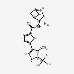 Cc1c(-c2ccc(C(=O)N[C@@H]3CN=C4CC3C4)s2)noc1C(F)(F)F